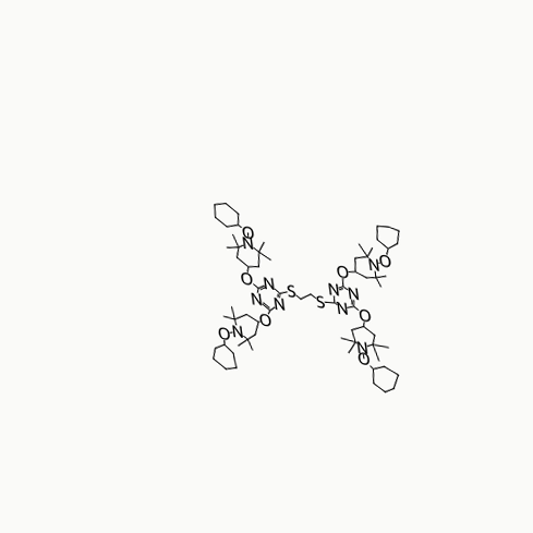 CC1(C)CC(Oc2nc(OC3CC(C)(C)N(OC4CCCCC4)C(C)(C)C3)nc(SCCSc3nc(OC4CC(C)(C)N(OC5CCCCC5)C(C)(C)C4)nc(OC4CC(C)(C)N(OC5CCCCC5)C(C)(C)C4)n3)n2)CC(C)(C)N1OC1CCCCC1